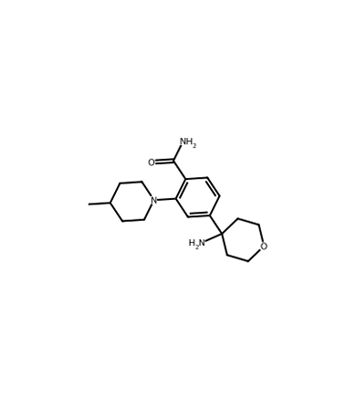 CC1CCN(c2cc(C3(N)CCOCC3)ccc2C(N)=O)CC1